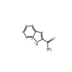 NC(=O)C1=Cc2ccccc2[SH]1